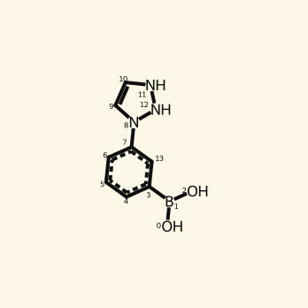 OB(O)c1cccc(N2C=CNN2)c1